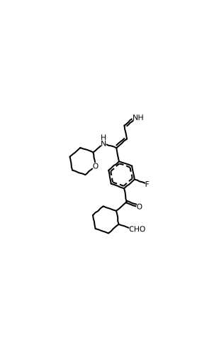 N=C/C=C(\NC1CCCCO1)c1ccc(C(=O)C2CCCCC2C=O)c(F)c1